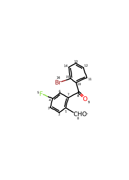 O=[C]c1ccc(F)cc1C(=O)c1ccccc1Br